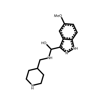 COc1ccc2[nH]nc(C(O)NCC3CCNCC3)c2c1